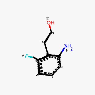 Nc1cccc(F)c1CCO